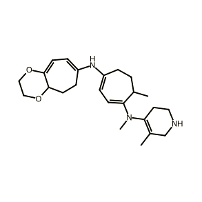 CC1=C(N(C)C2=CC=C(NC3=CC=C4OCCOC4CC3)CCC2C)CCNC1